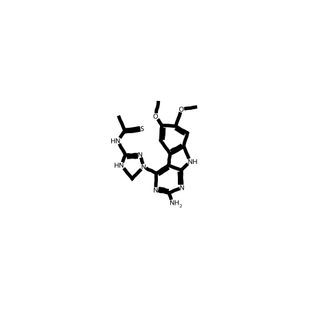 COc1cc2[nH]c3nc(N)nc(N4CNC(NC(C)=S)=N4)c3c2cc1OC